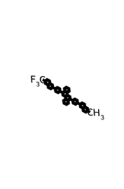 Cc1ccc2cc(-c3ccc(-c4cc5c6ccccc6c(-c6ccc(-c7ccc8cc(C(F)(F)F)ccc8c7)cc6)cc5c5ccccc45)cc3)ccc2c1